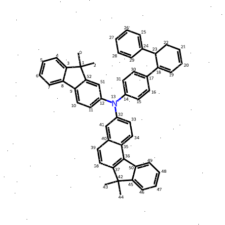 CC1(C)c2ccccc2-c2ccc(N(c3ccc(C4=CC=CCC4c4ccccc4)cc3)c3ccc4c5c(ccc4c3)C(C)(C)c3ccccc3-5)cc21